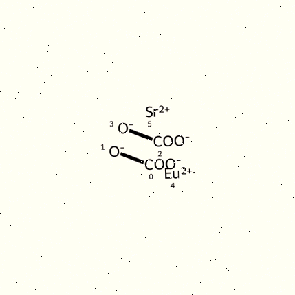 O=C([O-])[O-].O=C([O-])[O-].[Eu+2].[Sr+2]